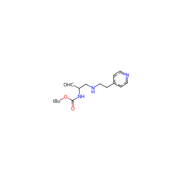 CC(C)(C)OC(=O)NC(C=O)CNCCc1ccncc1